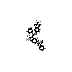 CN(c1ccc(N/C(=C2/C(=O)Nc3ccc(NS(=O)(=O)c4ccccc4)cc32)c2ccccc2)cc1)S(C)(=O)=O